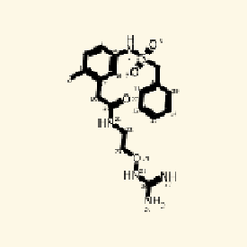 Cc1ccc(NS(=O)(=O)Cc2ccccc2)cc1CC(=O)NCCONC(=N)N